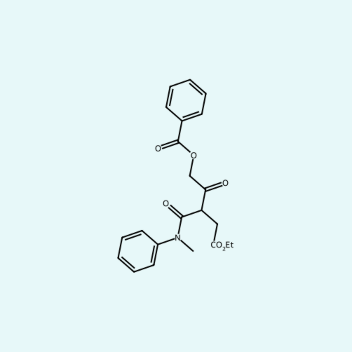 CCOC(=O)CC(C(=O)COC(=O)c1ccccc1)C(=O)N(C)c1ccccc1